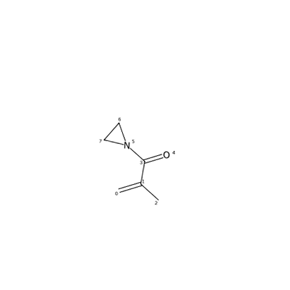 C=C(C)C(=O)N1CC1